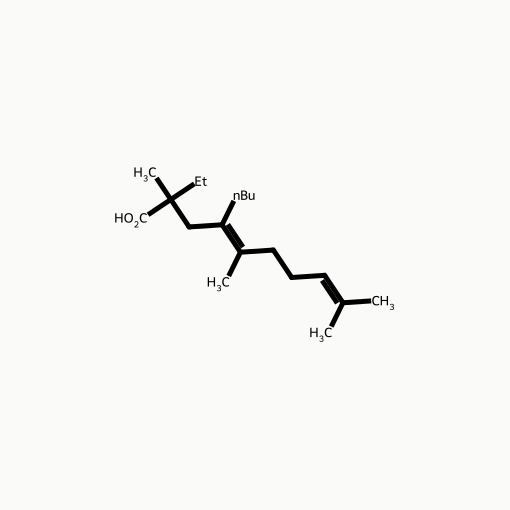 CCCC/C(CC(C)(CC)C(=O)O)=C(/C)CCC=C(C)C